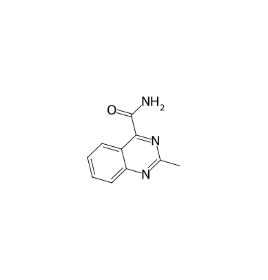 Cc1nc(C(N)=O)c2ccccc2n1